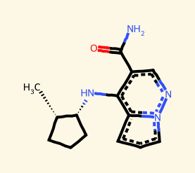 C[C@H]1CCC[C@H]1Nc1c(C(N)=O)cnn2cccc12